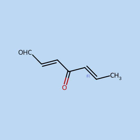 C/C=C/C(=O)C=CC=O